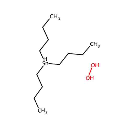 CCC[CH2][SnH]([CH2]CCC)[CH2]CCC.OO